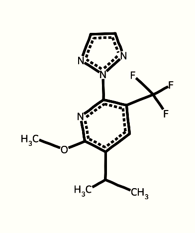 COc1nc(-n2nccn2)c(C(F)(F)F)cc1C(C)C